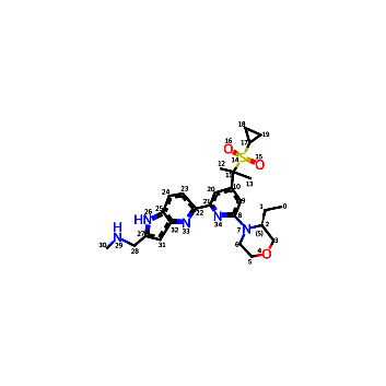 CC[C@H]1COCCN1c1cc(C(C)(C)S(=O)(=O)C2CC2)cc(-c2ccc3[nH]c(CNC)cc3n2)n1